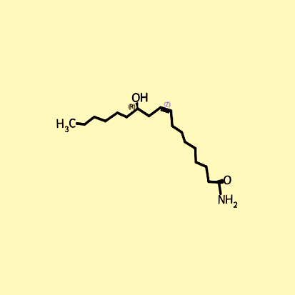 CCCCCC[C@@H](O)C/C=C\CCCCCCCC(N)=O